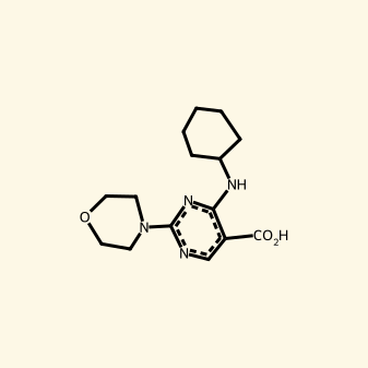 O=C(O)c1cnc(N2CCOCC2)nc1NC1CCCCC1